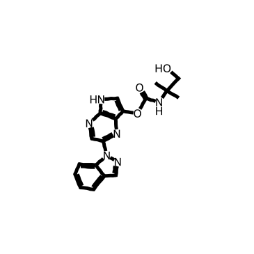 CC(C)(CO)NC(=O)Oc1c[nH]c2ncc(-n3ncc4ccccc43)nc12